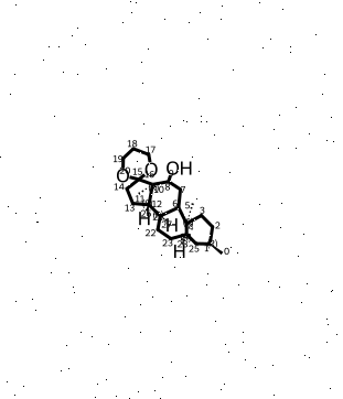 C[C@@H]1CC[C@]2(C)C3CC(O)[C@@]4(C)[C@@H](CCC45OCCCO5)[C@@H]3CC[C@@H]2C1